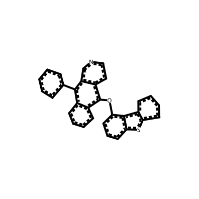 c1ccc(-c2c3ccccc3c(Oc3cccc4sc5ccccc5c34)c3ccncc23)cc1